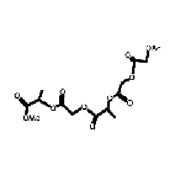 COC(=O)C(C)OC(=O)COC(=O)C(C)OC(=O)COC(=O)COC(C)=O